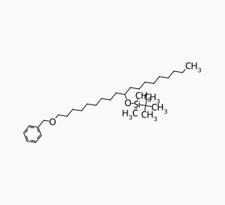 CCCCCCCCCC(CCCCCCCCCOCc1ccccc1)O[Si](C)(C)C(C)(C)C